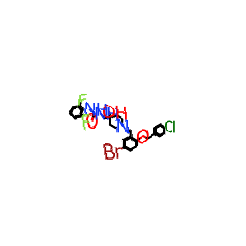 O=C(NCC1(O)CCN(Cc2cc(Br)ccc2OCc2ccc(Cl)cc2)CC1)Nc1c(F)cccc1F